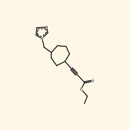 CCOC(=O)C#CC1CCCC(Cn2ccnc2)CC1